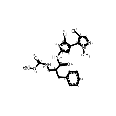 Cn1ncc(Cl)c1-c1cc(NC(=O)C(CNC(=O)OC(C)(C)C)Cc2ccccc2)sc1Cl